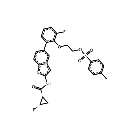 Cc1ccc(S(=O)(=O)OCCOc2c(F)cccc2-c2ccc3nc(NC(=O)[C@@H]4C[C@@H]4F)cn3c2)cc1